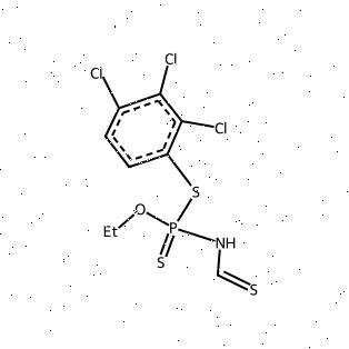 CCOP(=S)(NC=S)Sc1ccc(Cl)c(Cl)c1Cl